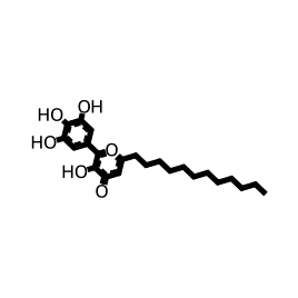 CCCCCCCCCCCCc1cc(=O)c(O)c(-c2cc(O)c(O)c(O)c2)o1